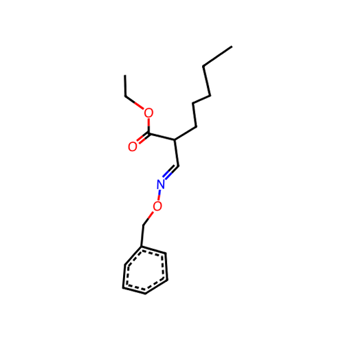 CCCCCC(C=NOCc1ccccc1)C(=O)OCC